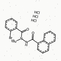 CC(C)(C)N(NC(=O)c1cccc2ccccc12)C(=O)c1ccccc1Br.Cl.Cl.Cl